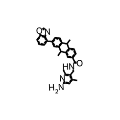 Cc1cc(N)nc(C)c1CNC(=O)c1ccc2c(c1)C(C)c1cc(-c3cccc4ocnc34)ccc1C2C